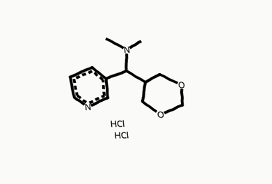 CN(C)C(c1cccnc1)C1COCOC1.Cl.Cl